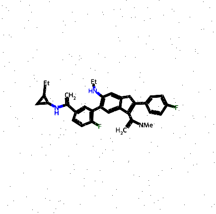 C=C(NC)C1=C(c2ccc(F)cc2)Cc2cc(NCC)c(-c3cc(C(=C)NC4CC4CC)ccc3F)cc21